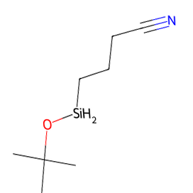 CC(C)(C)O[SiH2]CCCC#N